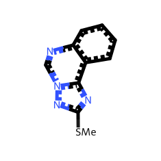 CSc1nc2c3ccccc3ncn2n1